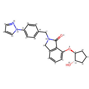 O=C1c2c(cccc2O[C@H]2CCC[C@@H]2O)CN1Cc1ccc(-n2cccn2)cc1